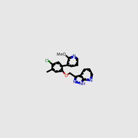 COc1ncccc1-c1cc(Cl)c(C)cc1OCc1n[nH]c2ncccc12